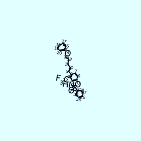 O=S(=O)(Nc1cccc(/C=C/CCCOc2[c]cccc2)c1C(F)(F)F)c1ccccc1